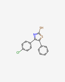 Sc1nc(-c2ccc(Cl)cc2)c(-c2ccccc2)s1